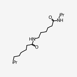 CC(C)CCCCCC(=O)NCCCCCC(=O)NC(C)C